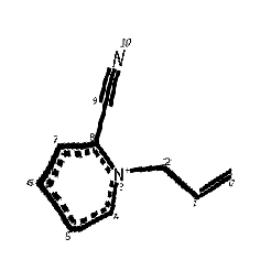 C=CC[n+]1ccccc1C#N